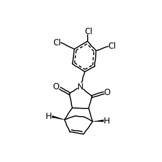 O=C1C2C(C(=O)N1c1cc(Cl)c(Cl)c(Cl)c1)[C@H]1C=C[C@@H]2CC1